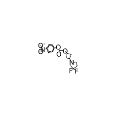 O=C(Oc1ccc([N+](=O)[O-])cc1)OC1CC(N2CCC(F)(F)C2)C1